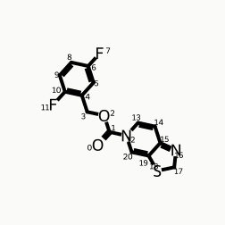 O=C(OCc1cc(F)ccc1F)N1C=CC2=NCSC2=C1